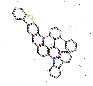 c1ccc(-c2ccccc2-c2c(-c3ccccc3)cccc2N(c2cccc(-n3c4ccccc4c4ccccc43)c2)c2ccc3c(c2)sc2ccccc23)cc1